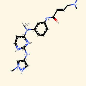 CN(C)CC=CC(=O)Nc1cccc(N(C(=O)O)c2ccnc(Nc3cnn(C)c3)n2)c1